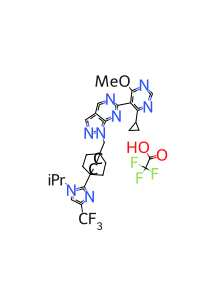 COc1ncnc(C2CC2)c1-c1ncc2cnn(CC34CCC(c5nc(C(F)(F)F)cn5C(C)C)(CC3)CC4)c2n1.O=C(O)C(F)(F)F